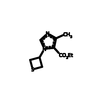 CCOC(=O)c1c(C)ncn1C1CSC1